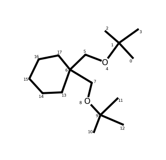 CC(C)(C)OCC1(COC(C)(C)C)CCCCC1